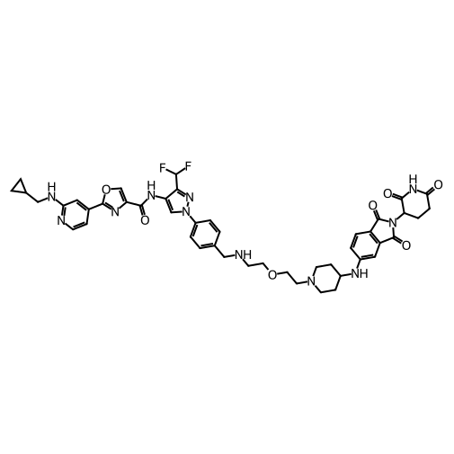 O=C1CCC(N2C(=O)c3ccc(NC4CCN(CCOCCNCc5ccc(-n6cc(NC(=O)c7coc(-c8ccnc(NCC9CC9)c8)n7)c(C(F)F)n6)cc5)CC4)cc3C2=O)C(=O)N1